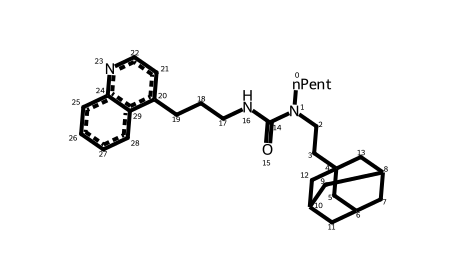 CCCCCN(CCC12CC3CC(CC(C3)C1)C2)C(=O)NCCCc1ccnc2ccccc12